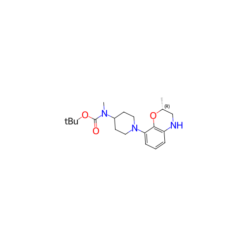 C[C@@H]1CNc2cccc(N3CCC(N(C)C(=O)OC(C)(C)C)CC3)c2O1